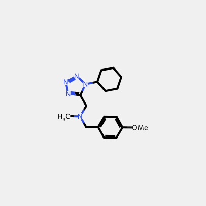 COc1ccc(CN(C)Cc2nnnn2C2CCCCC2)cc1